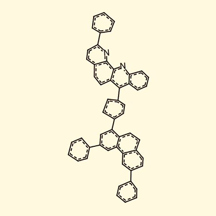 c1ccc(-c2ccc3ccc4c(-c5ccc(-c6c7ccccc7nc7c6ccc6ccc(-c8ccccc8)nc67)cc5)cc(-c5ccccc5)cc4c3c2)cc1